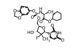 C[C@H](N[P@](=O)(OC[C@H]1O[C@@H](n2ccc(=O)[nH]c2=O)[C@](C)(F)[C@@H]1O)Oc1ccc2c(c1)OCO2)C(=O)OC1CCCCC1